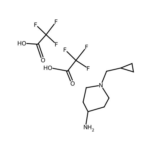 NC1CCN(CC2CC2)CC1.O=C(O)C(F)(F)F.O=C(O)C(F)(F)F